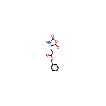 O=C(CC[C@@H]1NC(=O)OC1=O)OCc1ccccc1